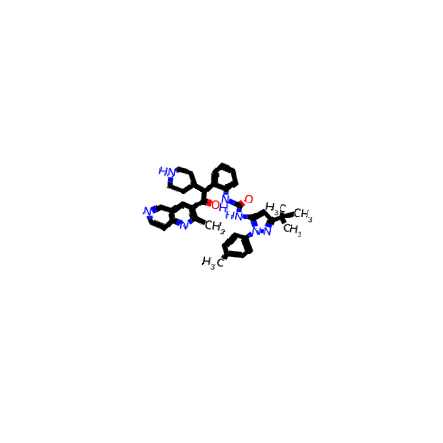 Cc1ccc(-n2nc(C(C)(C)C)cc2NC(=O)Nc2ccccc2C(C(=O)c2cc3cnccc3nc2C)C2CCNCC2)cc1